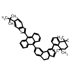 CC(C)(C)c1ccc2cc(-c3c4ccccc4c(-c4ccc5c(c4)-c4cc(-c6cccc7c6C(C)(C)CCC7(C)C)ccc4CC5)c4ccccc34)sc2c1